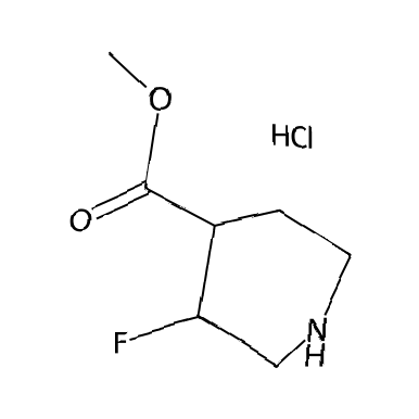 COC(=O)C1CCNCC1F.Cl